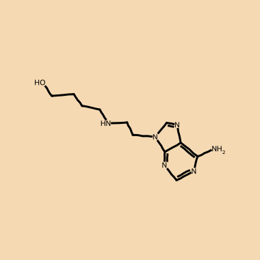 Nc1ncnc2c1ncn2CCNCCCCO